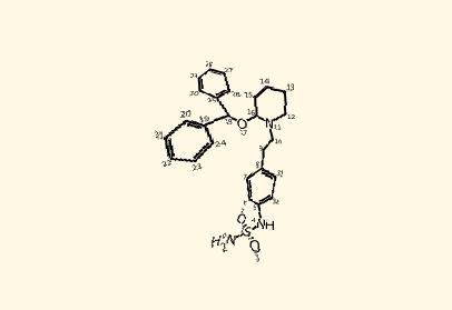 NS(=O)(=O)Nc1ccc(CCN2CCCCC2OC(c2ccccc2)c2ccccc2)cc1